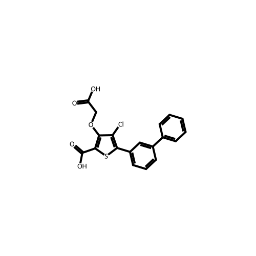 O=C(O)COc1c(C(=O)O)sc(-c2cccc(-c3ccccc3)c2)c1Cl